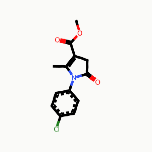 COC(=O)C1=C(C)N(c2ccc(Cl)cc2)C(=O)C1